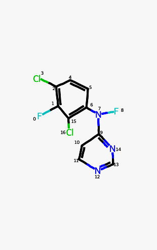 Fc1c(Cl)ccc(N(F)c2ccncn2)c1Cl